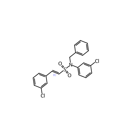 O=S(=O)(/C=C/c1cccc(Cl)c1)N(Cc1ccccc1)c1cccc(Cl)c1